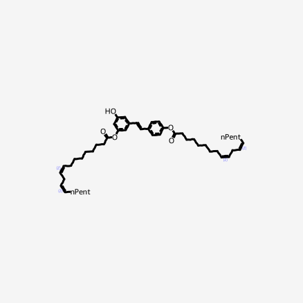 CCCCC/C=C\C/C=C\CCCCCCCC(=O)Oc1ccc(C=Cc2cc(O)cc(OC(=O)CCCCCCC/C=C\C/C=C\CCCCC)c2)cc1